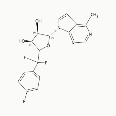 Cc1ncnc2c1ccn2[C@@H]1OC(C(F)(F)c2ccc(F)cc2)[C@@H](O)[C@H]1O